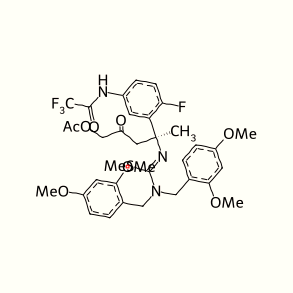 COc1ccc(CN(Cc2ccc(OC)cc2OC)/C(=N/[C@@](C)(CC(=O)COC(C)=O)c2cc(NC(=O)C(F)(F)F)ccc2F)SC)c(OC)c1